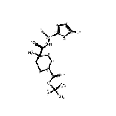 CC(C)(C)OC(=O)N1CCC(C)(C(=O)N[S+]([O-])c2ccc(Cl)s2)CC1